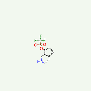 O=S(=O)(Oc1cccc2c1CNCC2)C(F)(F)F